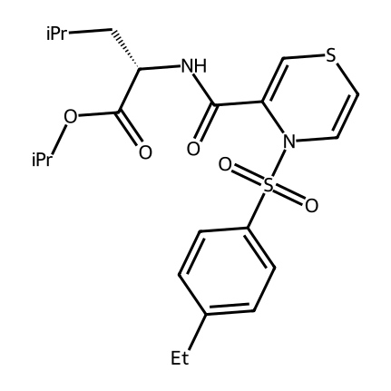 CCc1ccc(S(=O)(=O)N2C=CSC=C2C(=O)N[C@@H](CC(C)C)C(=O)OC(C)C)cc1